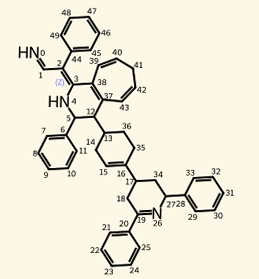 N=C/C(=C1\NC(c2ccccc2)C(C2CC=C(C3CC(c4ccccc4)=NC(c4ccccc4)C3)CC2)C2=C1C=CCC=C2)c1ccccc1